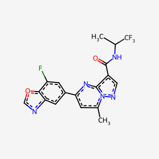 Cc1cc(-c2cc(F)c3ocnc3c2)nc2c(C(=O)NC(C)C(F)(F)F)cnn12